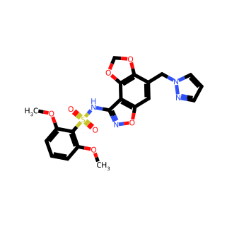 COc1cccc(OC)c1S(=O)(=O)Nc1noc2cc(Cn3cccn3)c3c(c12)OCO3